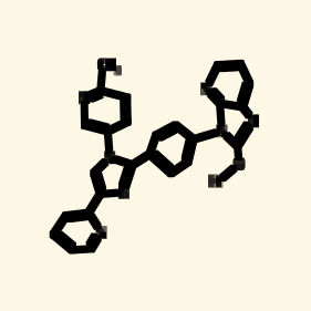 CCOc1nc2cccnc2n1-c1ccc(-c2nc(-c3ccccn3)cn2-c2ccc(C)nc2)cc1